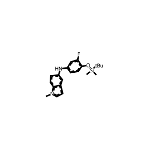 Cn1ccc2cc(Nc3ccc(O[Si](C)(C)C(C)(C)C)c(F)c3)ccc21